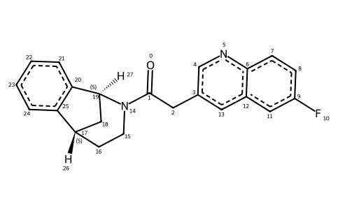 O=C(Cc1cnc2ccc(F)cc2c1)N1CC[C@H]2C[C@H]1c1ccccc12